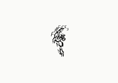 CCS(=O)(=O)c1ccc(-n2cncn2)nc1-c1ncc([C@H](F)C(F)(F)C(F)(F)C(F)(F)C(F)(F)F)n1C